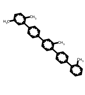 Cc1ccc(C)c(-c2ccc(-c3ccc(-c4ccc(-c5ccccc5C)cc4)c(C)c3)cc2)c1